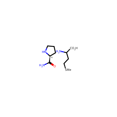 CSCCC(N)C(=O)O.NC(=O)[C@@H]1CCCN1